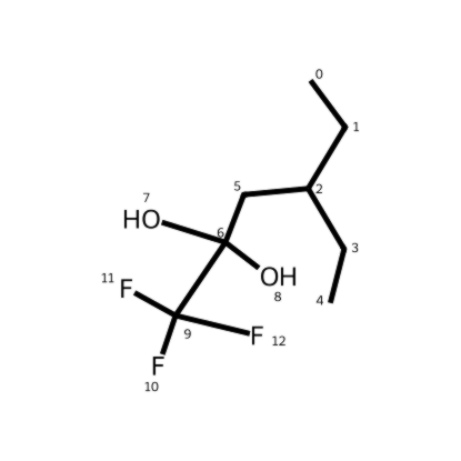 CCC(CC)CC(O)(O)C(F)(F)F